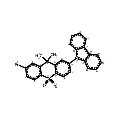 CC1(C)c2cc(Br)ccc2S(=O)(=O)c2ccc(-n3c4ccccc4c4ccccc43)cc21